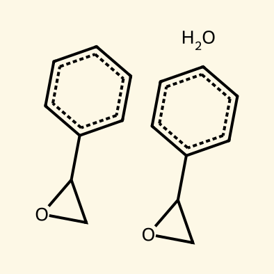 O.c1ccc(C2CO2)cc1.c1ccc(C2CO2)cc1